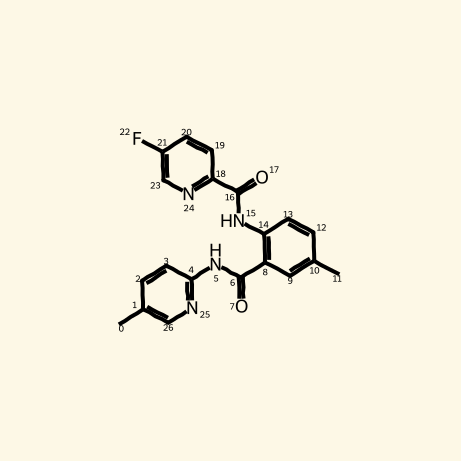 Cc1ccc(NC(=O)c2cc(C)ccc2NC(=O)c2ccc(F)cn2)nc1